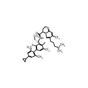 Cc1cc(C2CC2)cc(C)c1-c1cc(C(F)(F)F)c(F)c([C@H](CC(=O)O)NC(=O)C(CC(C)C)n2cc(CCCN(C)C)c(C(F)(F)F)cc2=O)c1F